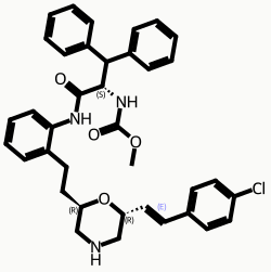 COC(=O)N[C@H](C(=O)Nc1ccccc1CC[C@@H]1CNC[C@@H](/C=C/c2ccc(Cl)cc2)O1)C(c1ccccc1)c1ccccc1